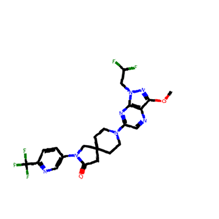 COc1nn(CC(F)F)c2nc(N3CCC4(CC3)CC(=O)N(c3ccc(C(F)(F)F)nc3)C4)cnc12